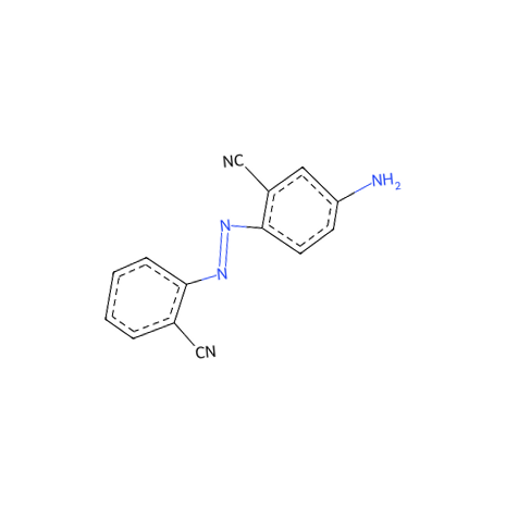 N#Cc1ccccc1N=Nc1ccc(N)cc1C#N